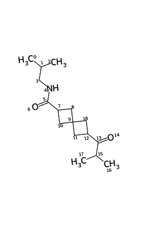 CC(C)CNC(=O)C1CC2(C1)CC(C(=O)C(C)C)C2